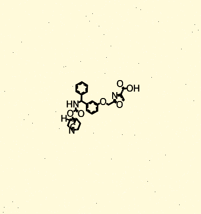 O=C(NC(c1ccccc1)c1cccc(OCc2nc(C(=O)O)co2)c1)O[C@H]1CN2CCC1CC2